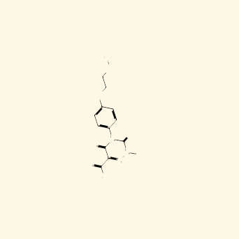 COCCOc1ccc(-n2c(=O)c(C(C)=O)nn(C)c2=O)cc1